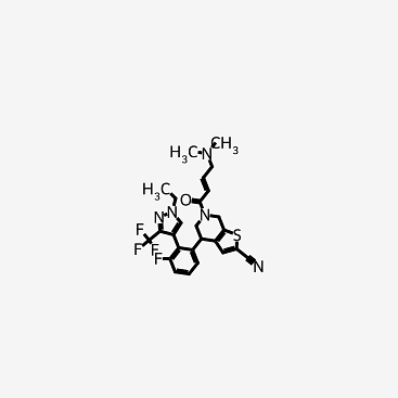 CCn1cc(-c2c(F)cccc2C2CN(C(=O)/C=C/CN(C)C)Cc3sc(C#N)cc32)c(C(F)(F)F)n1